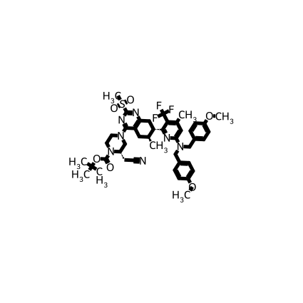 COc1ccc(CN(Cc2ccc(OC)cc2)c2cc(C)c(C(F)(F)F)c([C@H]3Cc4nc(S(C)(=O)=O)nc(N5CCN(C(=O)OC(C)(C)C)[C@@H](CC#N)C5)c4C[C@@H]3C)n2)cc1